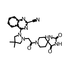 CC1(C)CN(CC(=O)N2CCC3(CC2)NC(=O)NC3=O)N(c2nc(C#N)nc3ccccc23)C1